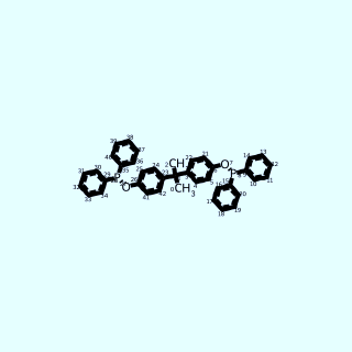 CC(C)(c1ccc(OP(c2ccccc2)c2ccccc2)cc1)c1ccc(OP(c2ccccc2)c2ccccc2)cc1